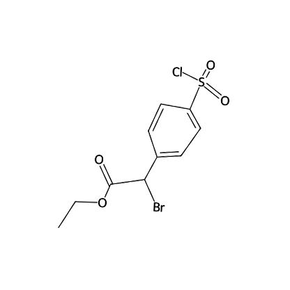 CCOC(=O)C(Br)c1ccc(S(=O)(=O)Cl)cc1